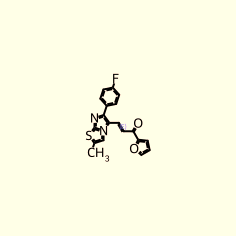 Cc1cn2c(/C=C/C(=O)c3ccco3)c(-c3ccc(F)cc3)nc2s1